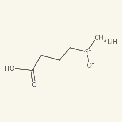 C[S+]([O-])CCCC(=O)O.[LiH]